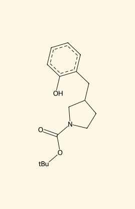 CC(C)(C)OC(=O)N1CCC(Cc2ccccc2O)C1